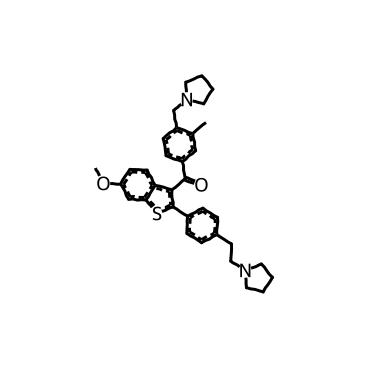 COc1ccc2c(C(=O)c3ccc(CN4CCCC4)c(C)c3)c(-c3ccc(CCN4CCCC4)cc3)sc2c1